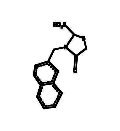 O=C1CSC(S(=O)(=O)O)N1Cc1ccc2ccccc2c1